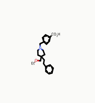 CCOCC1(CCc2ccccc2)CCN(Cc2ccc(C(=O)O)cc2)CC1